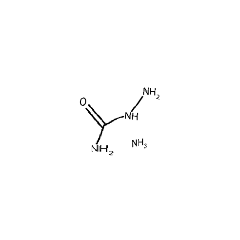 N.NNC(N)=O